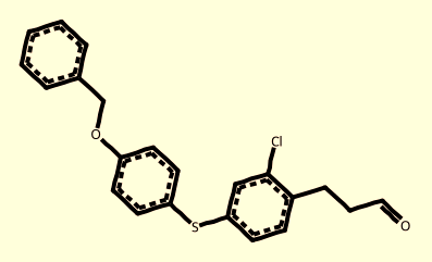 O=CCCc1ccc(Sc2ccc(OCc3ccccc3)cc2)cc1Cl